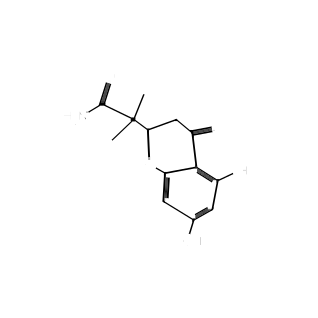 CC(C)(C(N)=O)C1CC(=O)c2c(O)cc(O)cc2O1